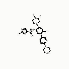 Cc1ncc(C(=O)Nc2cc(-c3cnc(N4CCOCC4)nc3)c(F)cc2N2CCN(C)[C@H](C)C2)s1